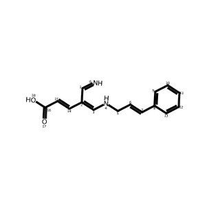 N=CC(=C\NC/C=C/c1ccccc1)/C=C/C(=O)O